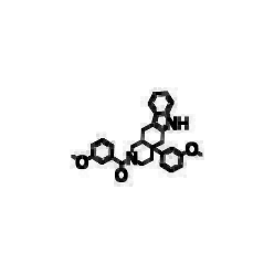 COc1cccc(C(=O)N2CCC3(c4cccc(OC)c4)Cc4[nH]c5ccccc5c4CC3C2)c1